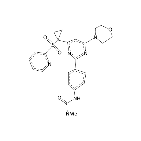 CNC(=O)Nc1ccc(-c2nc(N3CCOCC3)cc(C3(S(=O)(=O)c4ccccn4)CC3)n2)cc1